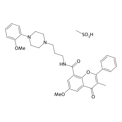 COc1cc(C(=O)NCCCN2CCN(c3ccccc3OC)CC2)c2oc(-c3ccccc3)c(C)c(=O)c2c1.CS(=O)(=O)O